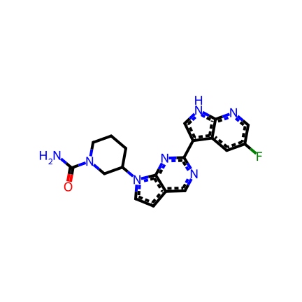 NC(=O)N1CCCC(n2ccc3cnc(-c4c[nH]c5ncc(F)cc45)nc32)C1